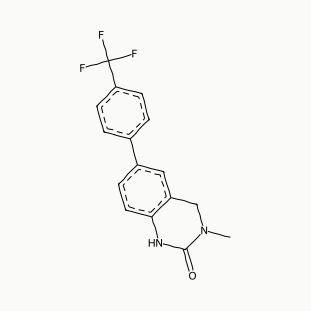 CN1Cc2cc(-c3ccc(C(F)(F)F)cc3)ccc2NC1=O